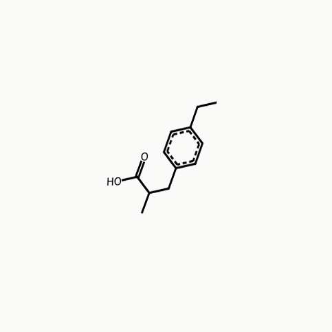 CCc1ccc(CC(C)C(=O)O)cc1